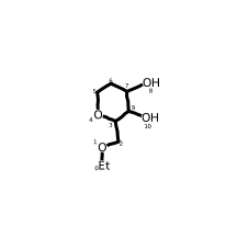 CCOCC1OCCC(O)C1O